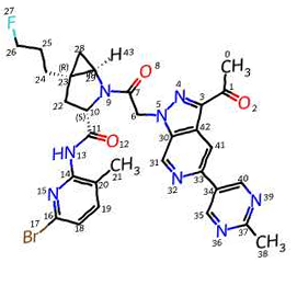 CC(=O)c1nn(CC(=O)N2[C@H](C(=O)Nc3nc(Br)ccc3C)C[C@@]3(CCCF)C[C@@H]23)c2cnc(-c3cnc(C)nc3)cc12